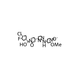 COc1cc(Nc2nccc(-c3ccn([C@H](CO)c4ccc(Cl)c(F)c4)c(=O)c3)n2)cc[n+]1[O-]